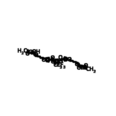 C=CC(=O)OCC(O)COCCCCOc1ccc(C(=O)Oc2ccc(OC(=O)c3ccc(OCCCCOCC(O)COC(=O)C=C)cc3)c(C(F)(F)F)c2C(F)(F)F)cc1